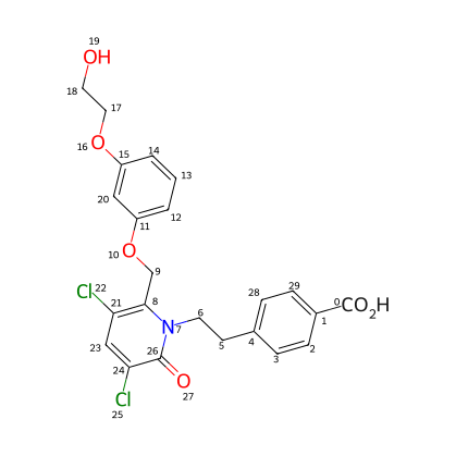 O=C(O)c1ccc(CCn2c(COc3cccc(OCCO)c3)c(Cl)cc(Cl)c2=O)cc1